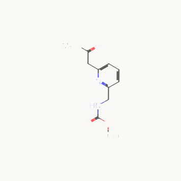 COC(=O)Cc1cccc(CNC(=O)OC(C)(C)C)n1